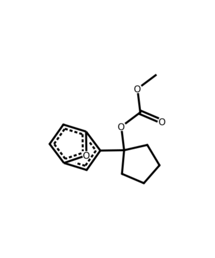 COC(=O)OC1(c2cc3ccc2o3)CCCC1